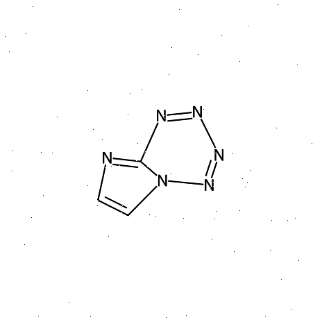 c1cn2nnnnc2n1